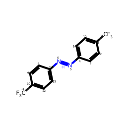 FC(F)(F)c1ccc(/N=N/c2ccc(C(F)(F)F)cc2)cc1